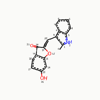 Cc1[nH]c2ccccc2c1C=C1Oc2cc(O)ccc2C1=O